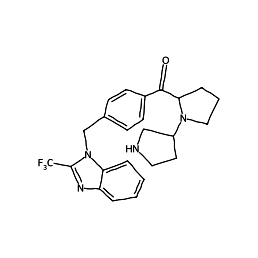 O=C(c1ccc(Cn2c(C(F)(F)F)nc3ccccc32)cc1)C1CCCN1C1CCNC1